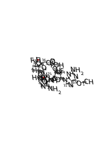 C#COc1nc(N)nc2c1ncn2[C@@H]1O[C@@H]2COP(=O)(O)O[C@H]3[C@H](n4cnc5c(N)ncnc54)O[C@H](COP(=O)(O)O[C@H]2[C@H]1F)[C@]31CC1(F)F